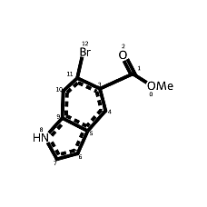 COC(=O)c1cc2cc[nH]c2cc1Br